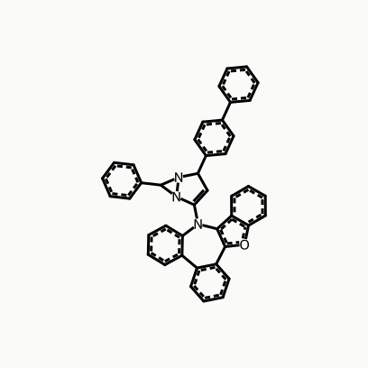 C1=C(N2c3ccccc3-c3ccccc3-c3oc4ccccc4c32)N2C(c3ccccc3)N2C1c1ccc(-c2ccccc2)cc1